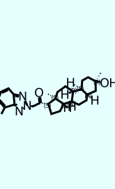 Cc1cccc2nn(CC(=O)[C@H]3CC[C@H]4[C@@H]5CC[C@@H]6C[C@](C)(O)CC[C@@H]6[C@H]5CC[C@]34C)nc12